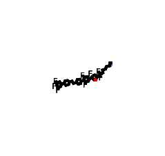 C/C=C/CCCC/C(F)=C(\F)c1ccc(-c2cc(F)c(C3CCC(CCC4CCC(c5cc(F)c(F)c(F)c5)CC4)CC3)c(F)c2)c(F)c1